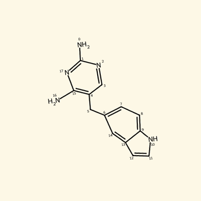 Nc1ncc(Cc2ccc3[nH]ccc3c2)c(N)n1